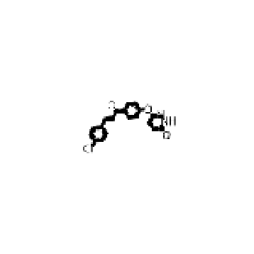 O=C(C=Cc1ccc(Cl)cc1)c1ccc(Oc2ccc(=O)[nH]n2)cc1